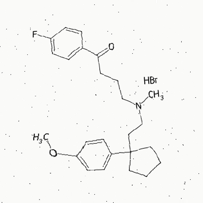 Br.COc1ccc(C2(CCN(C)CCCC(=O)c3ccc(F)cc3)CCCC2)cc1